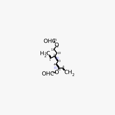 C=C/C(=C\C=C(/C=C)OC=O)CCOC=O